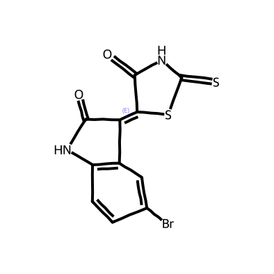 O=C1NC(=S)S/C1=C1/C(=O)Nc2ccc(Br)cc21